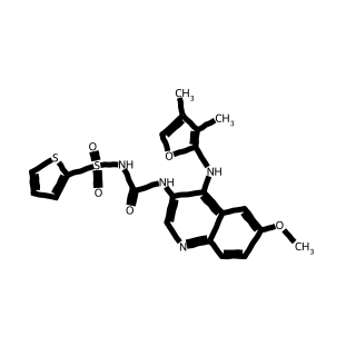 COc1ccc2ncc(NC(=O)NS(=O)(=O)c3cccs3)c(Nc3occ(C)c3C)c2c1